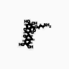 NCCCOC(=O)c1c(O)c(O)cc2occ(C3=CCc4cc(O)c(O)cc4C3=O)c(=O)c12